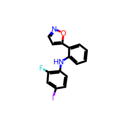 Fc1cc(I)ccc1Nc1ccccc1-c1ccno1